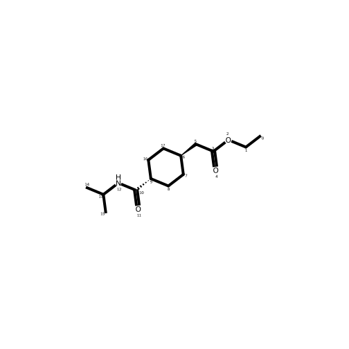 CCOC(=O)C[C@H]1CC[C@H](C(=O)NC(C)C)CC1